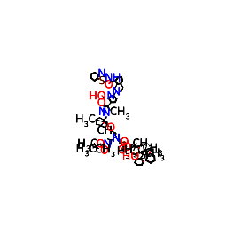 Cc1c(-c2ccc(N3CCc4cccc(C(=O)Nc5nc6ccccc6s5)c4C3)nc2C(=O)O)cnn1CC12CC3(C)CC(C)(C1)CC(OCCN(CCS(=O)(=O)OCC(C)(C)CC(O)[Si](c1ccccc1)(c1ccccc1)C(C)(C)C)C1CN(C(=O)OC(C)(C)C)C1)(C3)C2